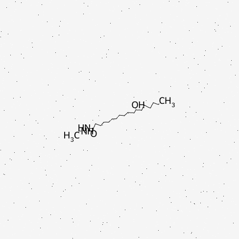 CCCCCC[C@@H](O)CCCCCCCCCCC(=O)NNCC